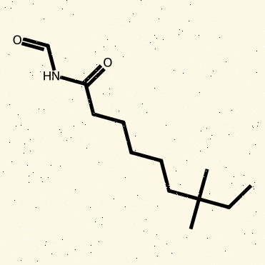 CCC(C)(C)CCCCCC(=O)NC=O